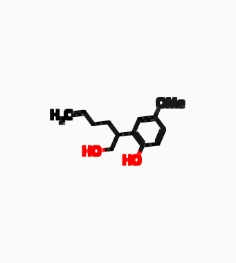 C=CCCC(CO)c1cc(OC)ccc1O